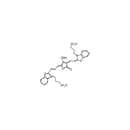 COn1c(=CC=Cc2oc3ccccc3[n+]2CCCS(=O)(=O)O)oc(=O)c1=CC=C1Oc2ccccc2N1CCCS(=O)(=O)O